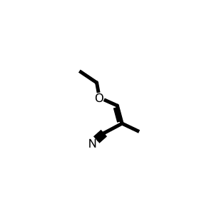 CCO/C=C(/C)C#N